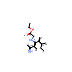 C=C(/C(NCC(=O)OCC)=C(\C)C(C)=N)C(C)CC